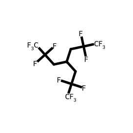 FC(F)(F)C(F)(F)C[C](CC(F)(F)C(F)(F)F)CC(F)(F)C(F)(F)F